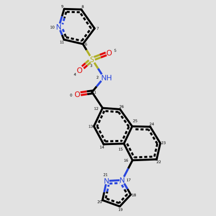 O=C(NS(=O)(=O)c1cccnc1)c1ccc2c(-n3cccn3)cccc2c1